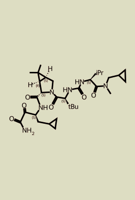 CC(C)[C@H](NC(=O)N[C@H](C(=O)N1C[C@H]2[C@@H]([C@H]1C(=O)N[C@@H](CC1CC1)C(=O)C(N)=O)C2(C)C)C(C)(C)C)C(=O)N(C)CC1CC1